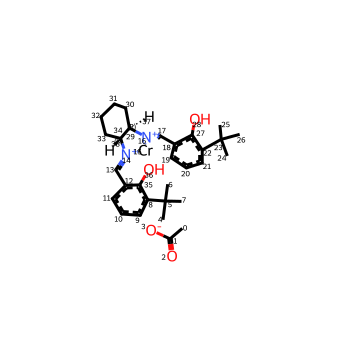 CC(=O)[O-].CC(C)(C)c1cccc(C=[N+]2[Cr][N+](=Cc3cccc(C(C)(C)C)c3O)[C@@H]3CCCC[C@H]32)c1O